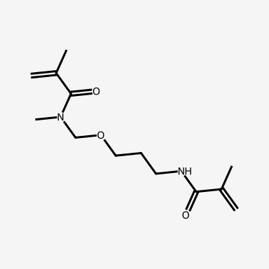 C=C(C)C(=O)NCCCOCN(C)C(=O)C(=C)C